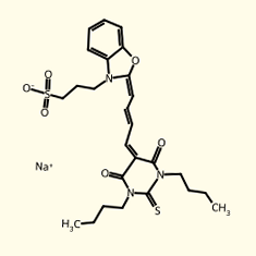 CCCCN1C(=O)C(=C/C=C/C=C2/Oc3ccccc3N2CCCS(=O)(=O)[O-])C(=O)N(CCCC)C1=S.[Na+]